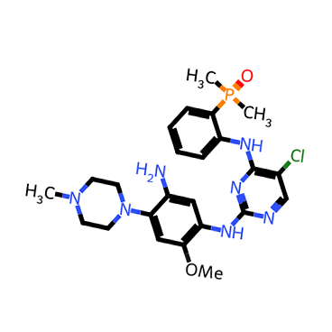 COc1cc(N2CCN(C)CC2)c(N)cc1Nc1ncc(Cl)c(Nc2ccccc2P(C)(C)=O)n1